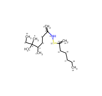 C=C(CCC(C)C(C)(C)CC)NSC(=C)CCCCC